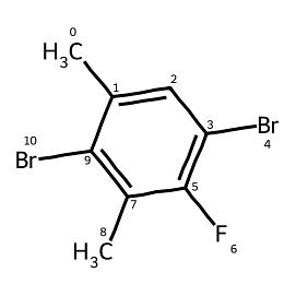 Cc1cc(Br)c(F)c(C)c1Br